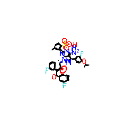 Cc1ccc(S(=O)(=O)O)c(-c2nc(N)c3c(-c4ccc(OC(C)C)c(F)c4)nn([C@@H](C)c4oc5ccc(F)cc5c(=O)c4-c4cccc(F)c4)c3n2)c1